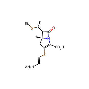 CCS[C@@H](C)[C@H]1C(=O)N2C(C(=O)O)=C(S/C=C/NC(C)=O)C[C@H]12